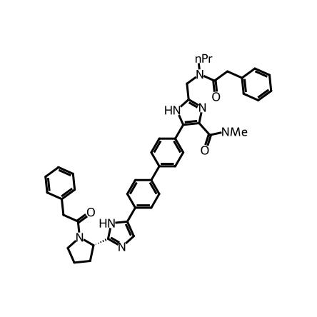 CCCN(Cc1nc(C(=O)NC)c(-c2ccc(-c3ccc(-c4cnc([C@@H]5CCCN5C(=O)Cc5ccccc5)[nH]4)cc3)cc2)[nH]1)C(=O)Cc1ccccc1